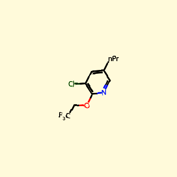 CCCc1cnc(OCC(F)(F)F)c(Cl)c1